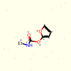 CCNC(=O)Oc1ccco1